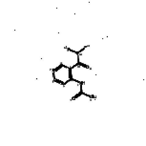 CC(C)(C)C(=O)Nc1ccncc1C(=O)C(F)F